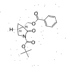 CC(C)(C)OC(=O)N1C[C@H]2C[C@@]2(COC(=O)c2ccccc2)C1=O